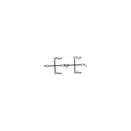 CCCCCCC(C)(O)C(=O)O.CCCCCCC(O)(CCCCC)C(=O)O